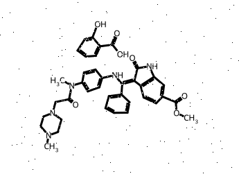 COC(=O)c1ccc2c(c1)NC(=O)/C2=C(\Nc1ccc(N(C)C(=O)CN2CCN(C)CC2)cc1)c1ccccc1.O=C(O)c1ccccc1O